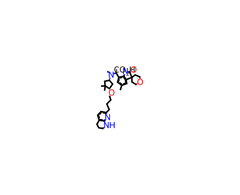 Cc1cc([C@H](C(=O)O)N(C)[C@H]2C[C@H](OCCCCc3ccc4c(n3)NCCC4)C(C)(C)C2)c2c(c1)C1(CCOCC1)C(=O)N2C